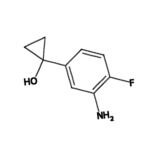 Nc1cc(C2(O)CC2)ccc1F